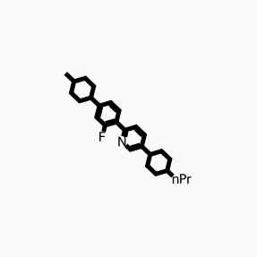 CCCC1CCC(c2ccc(-c3ccc(C4CCC(C)CC4)cc3F)nc2)CC1